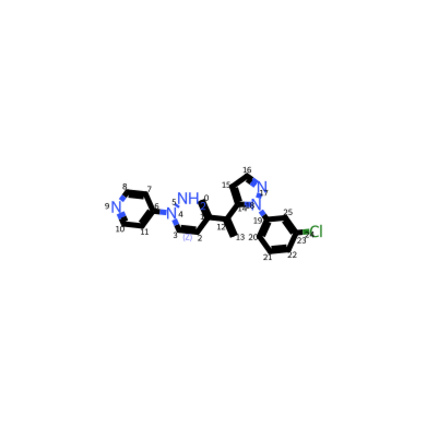 C=C(/C=C\N(N)c1ccncc1)C(=C)c1ccnn1-c1cccc(Cl)c1